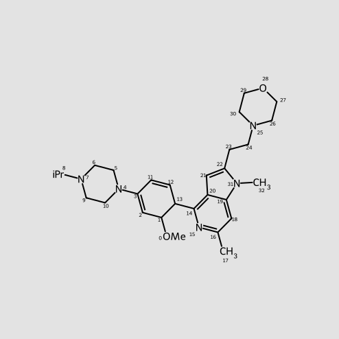 COC1C=C(N2CCN(C(C)C)CC2)C=CC1c1nc(C)cc2c1cc(CCN1CCOCC1)n2C